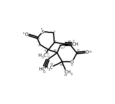 C#CC1CSC(=O)CC1(C)C1(C#C)CSC(=O)OC1(C)C